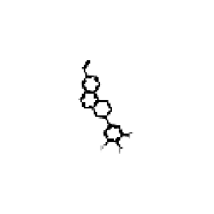 C=Cc1ccc2c3c(ccc2c1)CC(c1cc(F)c(F)c(F)c1)CC3